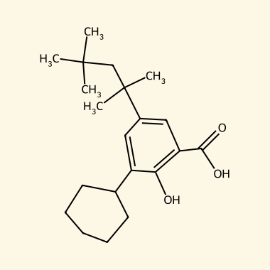 CC(C)(C)CC(C)(C)c1cc(C(=O)O)c(O)c(C2CCCCC2)c1